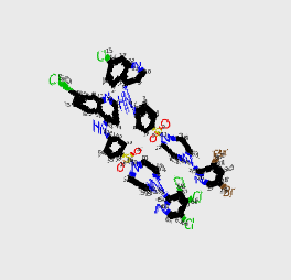 O=S(=O)(c1ccc(Nc2ccnc3cc(Cl)ccc23)cc1)N1CCN(c2ncc(Br)cc2Br)CC1.O=S(=O)(c1ccc(Nc2ccnc3cc(Cl)ccc23)cc1)N1CCN(c2ncc(Cl)c(Cl)c2Cl)CC1